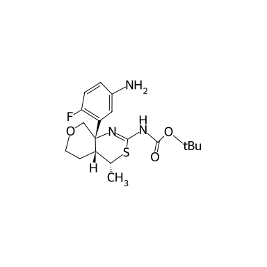 C[C@H]1SC(NC(=O)OC(C)(C)C)=N[C@@]2(c3cc(N)ccc3F)COCC[C@@H]12